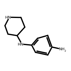 Nc1ccc(NC2CCNCC2)cc1